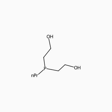 CCCP(CCO)CCO